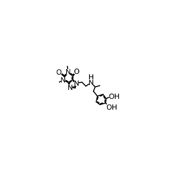 CC(Cc1ccc(O)c(O)c1)NCCn1cnc2c1c(=O)n(C)c(=O)n2C